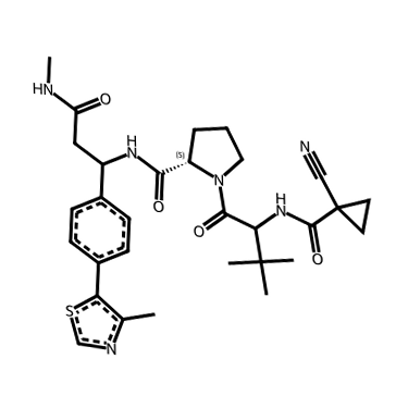 CNC(=O)CC(NC(=O)[C@@H]1CCCN1C(=O)C(NC(=O)C1(C#N)CC1)C(C)(C)C)c1ccc(-c2scnc2C)cc1